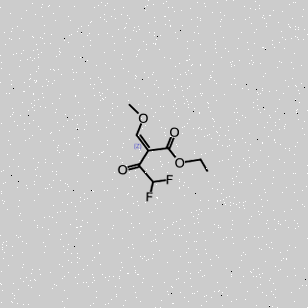 CCOC(=O)/C(=C\OC)C(=O)C(F)F